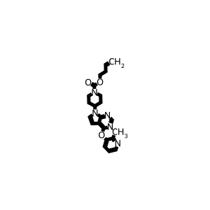 C=CCCOC(=O)N1CCC(n2ccc3c(Oc4cccnc4C)ncnc32)CC1